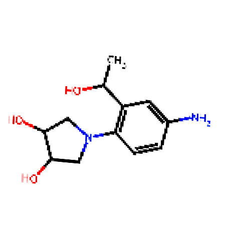 CC(O)c1cc(N)ccc1N1CC(O)C(O)C1